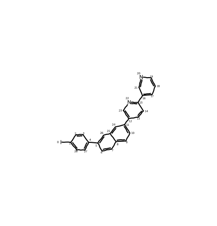 Ic1ccc(-c2ccc3ccc(-c4ccc(-c5cccnc5)nc4)cc3c2)cc1